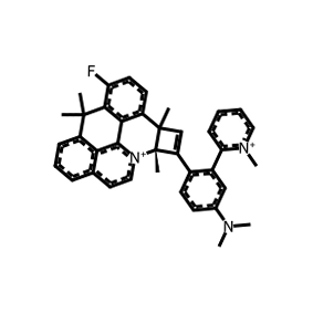 CN(C)c1ccc(C2=CC3(C)c4ccc(F)c5c4-c4c6c(cccc6cc[n+]4[C@@]23C)C5(C)C)c(-c2cccc[n+]2C)c1